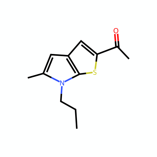 CCCn1c(C)cc2cc(C(C)=O)sc21